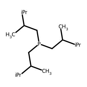 CC(C)C(C)CP(CC(C)C(C)C)CC(C)C(C)C